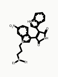 CCN(CC)CCCn1cc(C2=C(c3c[nH]c4ccccc34)C(=O)NC2=O)c2ccc([N+](=O)[O-])cc21